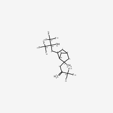 C=C(CC1(C)CC2CC(CC(O)(C(F)(F)F)C(F)(F)F)C1C2)C(F)(F)F